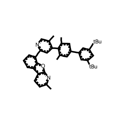 Cc1ccc2c(n1)oc1c(-c3cc(-c4c(C)cc(-c5cc(C(C)(C)C)cc(C(C)(C)C)c5)cc4C)c(C)cn3)cccc12